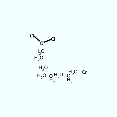 ClOCl.O.O.O.O.O.O.O.O.[Cr]